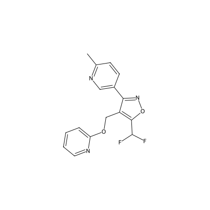 Cc1ccc(-c2noc(C(F)F)c2COc2ccccn2)cn1